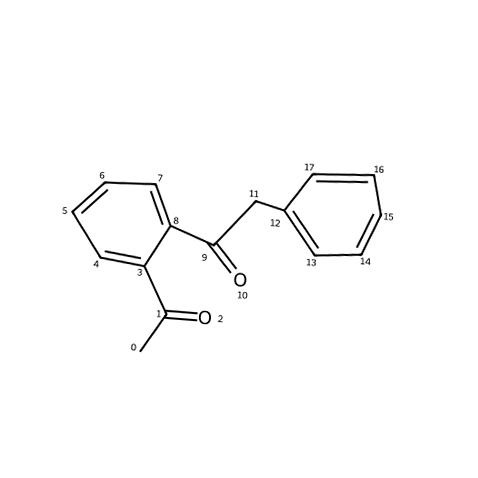 CC(=O)c1ccccc1C(=O)Cc1ccccc1